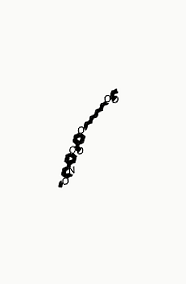 C=CC(=O)OCCCCCCCCCOc1ccc(C(=O)Oc2ccc(-c3ccc(OCC)cn3)cc2)cc1